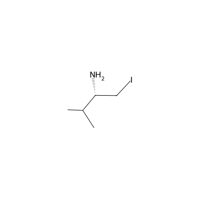 CC(C)[C@H](N)CI